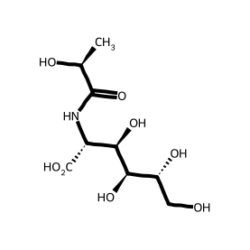 C[C@H](O)C(=O)N[C@@H](C(=O)O)[C@@H](O)[C@H](O)[C@H](O)CO